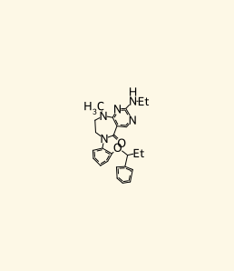 CCNc1ncc2c(n1)N(C)CCN(c1ccccc1OC(CC)c1ccccc1)C2=O